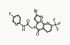 O=C(Cn1c(=O)c2ccc(C(F)(F)F)nc2n2nc(Br)cc12)Nc1ccc(F)cn1